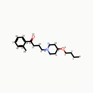 CCCCOC1CCN(CCCC(=O)c2ccccc2C)CC1